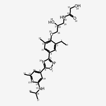 CCc1cc(-c2noc(-c3cc(C)nc(NC(C)C)c3)n2)cc(C)c1OC[C@@H](O)CNC(=O)CO